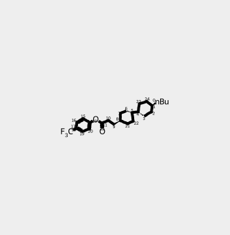 CCCC[C@H]1CC[C@H]([C@H]2CC[C@H](CCC(=O)Oc3ccc(C(F)(F)F)cc3)CC2)CC1